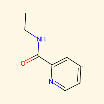 CCNC(=O)c1c[c]ccn1